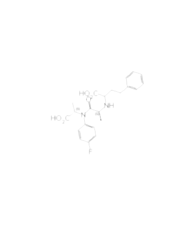 C[C@H](NC(CCc1ccccc1)C(=O)O)C(=O)N(c1ccc(F)cc1)[C@@H](C)C(=O)O